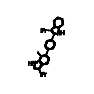 Cc1c(-c2ccc(-c3[nH]c4ccccc4c3C(C)C)cc2)ccc2c(C(C)C)c[nH]c12